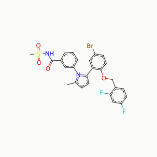 Cc1ccc(-c2cc(Br)ccc2OCc2ccc(F)cc2F)n1-c1cccc(C(=O)NS(C)(=O)=O)c1